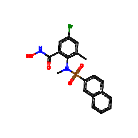 Cc1cc(Br)cc(C(=O)NO)c1N(C)S(=O)(=O)c1ccc2ccccc2c1